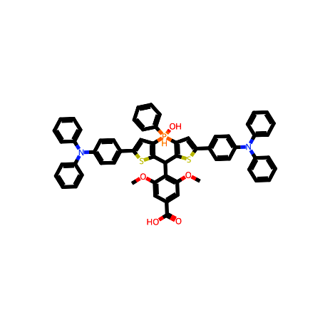 COc1cc(C(=O)O)cc(OC)c1C1c2sc(-c3ccc(N(c4ccccc4)c4ccccc4)cc3)cc2[PH](O)(c2ccccc2)c2cc(-c3ccc(N(c4ccccc4)c4ccccc4)cc3)sc21